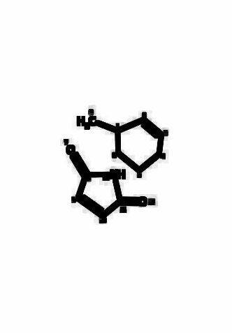 CC1C=CCCC1.O=C1C=CC(=O)N1